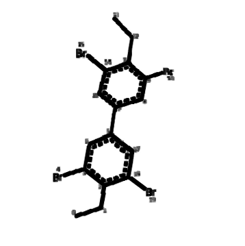 CCc1c(Br)cc(-c2cc(Br)c(CC)c(Br)c2)cc1Br